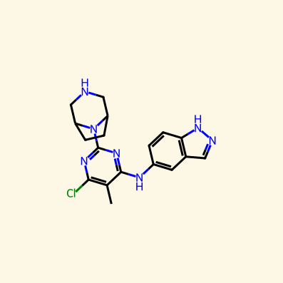 Cc1c(Cl)nc(N2C3CCC2CNC3)nc1Nc1ccc2[nH]ncc2c1